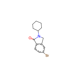 O=C1c2ccc(Br)cc2CN1C1CCCCC1